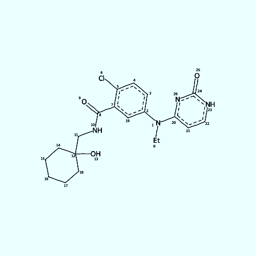 CCN(c1ccc(Cl)c(C(=O)NCC2(O)CCCCC2)c1)c1cc[nH]c(=O)n1